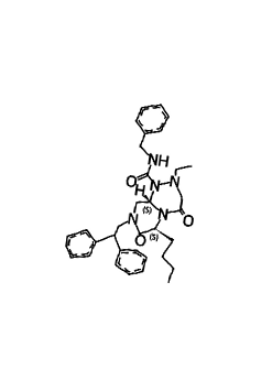 CCCC[C@H]1C(=O)N(CC(c2ccccc2)c2ccccc2)C[C@H]2N1C(=O)CN(CC)N2C(=O)NCc1ccccc1